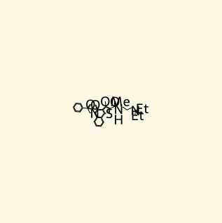 CCN(CC)CCCNC(=O)c1sc2c(c1OC)c(=O)n(CC(=O)c1ccccc1)c1ccccc21